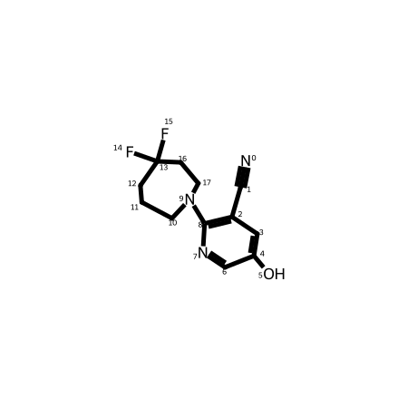 N#Cc1cc(O)cnc1N1CCCC(F)(F)CC1